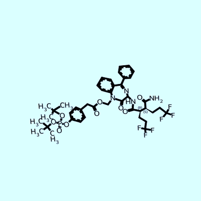 CC(C)(C)OP(=O)(Oc1ccc(CC(=O)OCN2C(=O)C(NC(=O)[C@H](CCC(F)(F)F)[C@H](CCC(F)(F)F)C(N)=O)N=C(c3ccccc3)c3ccccc32)cc1)OC(C)(C)C